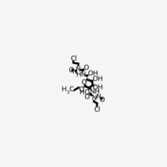 CCCO[C@@H]1O[C@H](C(O)NC(=O)N(CCCl)N=O)[C@@H](O)[C@H](O)[C@]1(O)NC(=O)N(CCCl)N=O